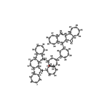 c1ccc(-n2c3ccccc3c3ccc4c5ccccc5n(-c5cccc(-c6cccc(-c7c8ccccc8nc8c7oc7ccccc78)c6)c5)c4c32)cc1